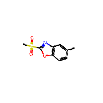 Cc1ccc2oc(S(C)(=O)=O)nc2c1